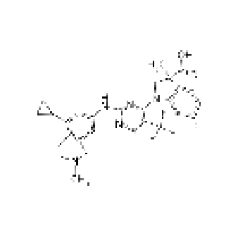 CN1CCc2c(cc(Nc3ncc(C(F)(F)F)c(N4CC(C)(C(=O)O)c5ccc(F)cc54)n3)cc2C2CC2)C1